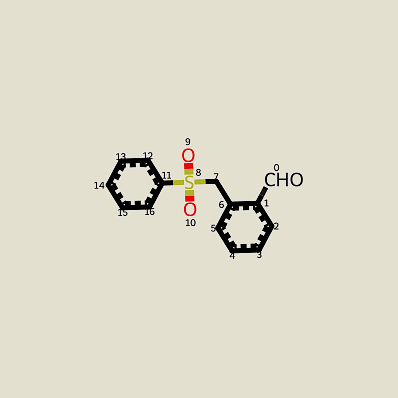 O=Cc1ccccc1CS(=O)(=O)c1ccccc1